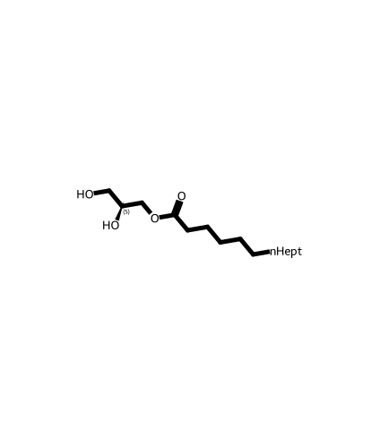 CCCCCCCCCCCCC(=O)OC[C@@H](O)CO